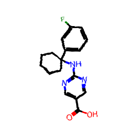 O=C(O)c1cnc(NC2(c3cccc(F)c3)CCCCC2)nc1